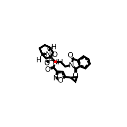 O=C(N[C@H]1C[C@H]2CC[C@@H](C1)N2S(=O)(=O)CCCN1C(=O)c2ccccc2C1=O)c1cc(C2CC2)on1